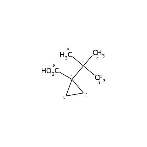 CC(C)(C(F)(F)F)C1(C(=O)O)CC1